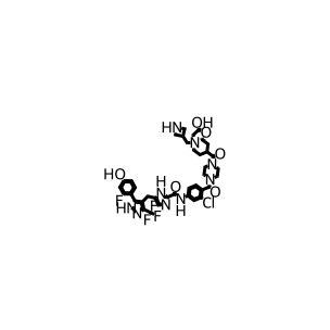 O=C(O)C[N+]1(CC2CNC2)CCC(C(=O)N2CCN(C(=O)c3ccc(NC(=O)c4ncc(Cc5c(C(F)(F)F)n[nH]c5-c5ccc(O)cc5F)[nH]4)cc3Cl)CC2)CC1